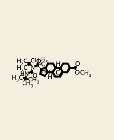 COC(=O)C1=CC2=CC[C@H]3[C@@H]4CC[C@H](C(=O)N(C(=O)NC(C)(C)C)C(C)(C)C)[C@@]4(C)CC[C@@H]3[C@@]2(C)CC1